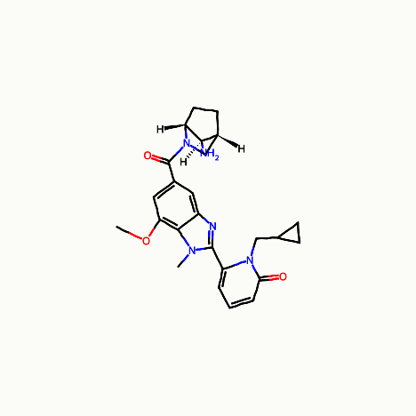 COc1cc(C(=O)N2C[C@H]3CC[C@@H]2[C@@H]3N)cc2nc(-c3cccc(=O)n3CC3CC3)n(C)c12